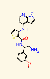 COc1cccc(C(CN)NC(=O)c2sccc2Nc2ccnc3[nH]ccc23)c1